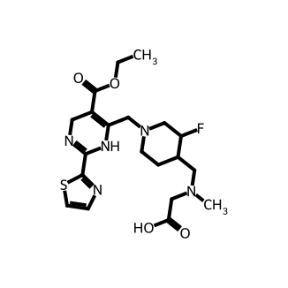 CCOC(=O)C1=C(CN2CCC(CN(C)CC(=O)O)C(F)C2)NC(c2nccs2)=NC1